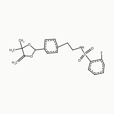 C=C1OB(c2ccc(CCNS(=O)(=O)c3ccccc3F)cc2)OC1(C)C